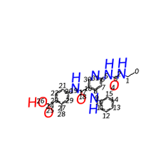 CCNC(=O)Nc1cc(Nc2ccccc2)c(C(=O)Nc2ccc(C(=O)O)c(C)c2)cn1